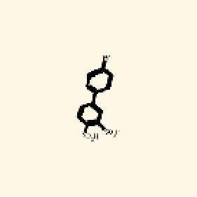 O=S(=O)(O)c1ccc(-c2ccc(Br)cc2)cc1S(=O)(=O)O